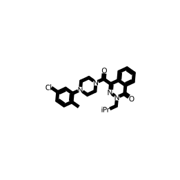 Cc1ccc(Cl)cc1N1CCN(C(=O)c2nn(CC(C)C)c(=O)c3ccccc23)CC1